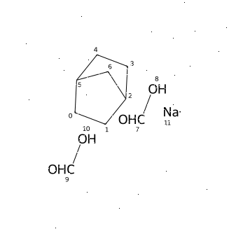 C1CC2CCC1C2.O=CO.O=CO.[Na]